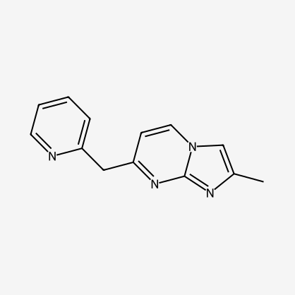 Cc1cn2ccc(Cc3ccccn3)nc2n1